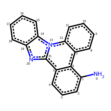 Nc1cccc2c1c1ccccc1n1c3ccccc3nc21